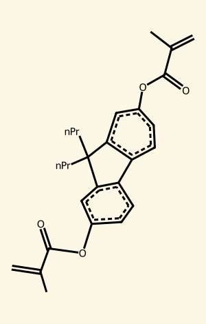 C=C(C)C(=O)Oc1ccc2c(c1)C(CCC)(CCC)c1cc(OC(=O)C(=C)C)ccc1-2